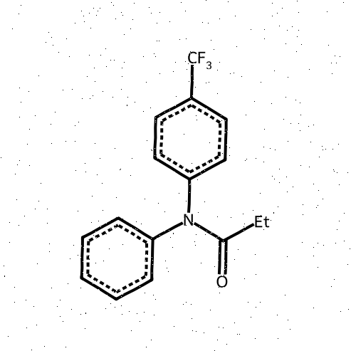 CCC(=O)N(c1ccccc1)c1ccc(C(F)(F)F)cc1